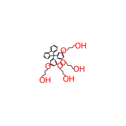 OCCCCOc1cc(OCCCCO)cc(C2(c3cc(OCCCCO)cc(OCCCCO)c3)c3ccccc3-c3ccccc32)c1